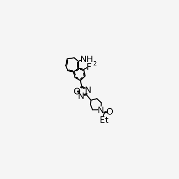 CCC(=O)N1CCC(c2noc(-c3cc(F)c4c(c3)=CC=CCC=4N)n2)CC1